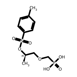 Cc1ccc(S(=O)(=O)O[C@H](C)COCP(=O)(O)O)cc1